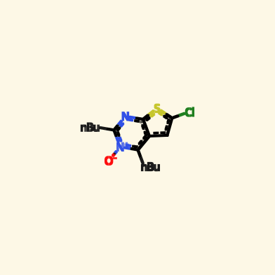 CCCCc1nc2sc(Cl)cc2c(CCCC)[n+]1[O-]